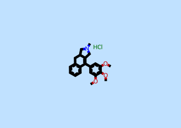 COc1cc(C2=C3CN(C)CC3Cc3ccccc32)cc(OC)c1OC.Cl